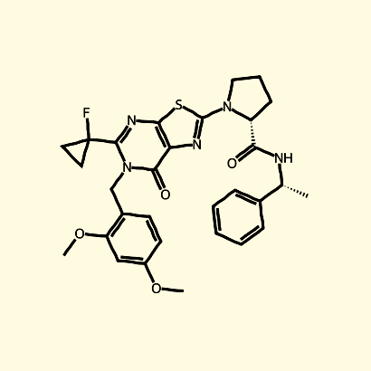 COc1ccc(Cn2c(C3(F)CC3)nc3sc(N4CCC[C@@H]4C(=O)N[C@H](C)c4ccccc4)nc3c2=O)c(OC)c1